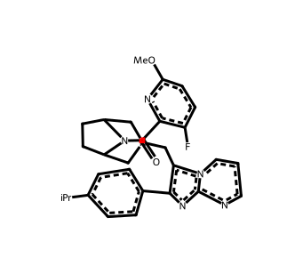 COc1ccc(F)c(C(=O)N2C3CCC2CN(Cc2c(-c4ccc(C(C)C)cc4)nc4ncccn24)C3)n1